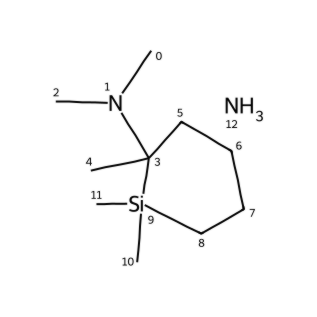 CN(C)C1(C)CCCC[Si]1(C)C.N